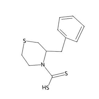 S=C(S)N1CCSCC1Cc1ccccc1